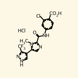 Cl.Cn1c(-c2c[nH]nc2C(F)(F)F)cnc1C(=O)Nc1ccc(C(=O)O)c(Cl)c1